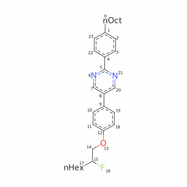 CCCCCCCCc1ccc(-c2ncc(-c3ccc(OCC(F)CCCCCC)cc3)cn2)cc1